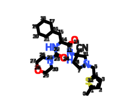 Cc1ccc(CN2CCC(C#N)(NC(=O)C(CC3CCCCC3)NC(=O)N3CCOCC3)C2)s1